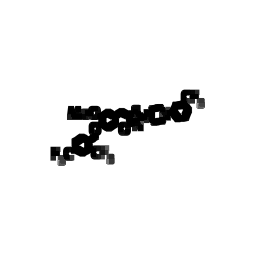 COc1cc(C=C2SC(N3CCN(c4cccc(C(F)(F)F)c4)CC3)=NC2=O)ccc1OCc1ccc(C(F)(F)F)cc1C(F)(F)F